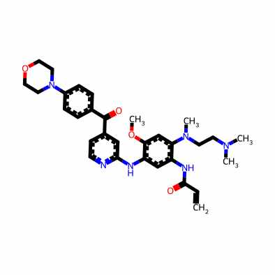 C=CC(=O)Nc1cc(Nc2cc(C(=O)c3ccc(N4CCOCC4)cc3)ccn2)c(OC)cc1N(C)CCN(C)C